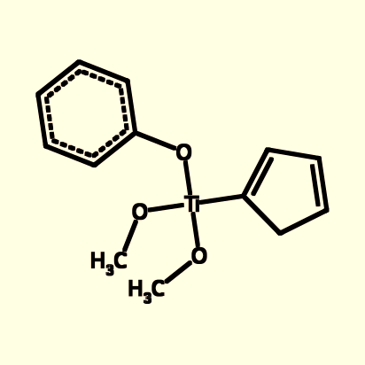 C[O][Ti]([O]C)([O]c1ccccc1)[C]1=CC=CC1